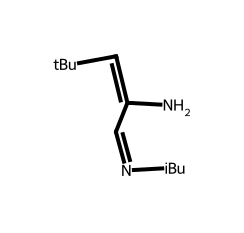 CCC(C)/N=C\C(N)=C/C(C)(C)C